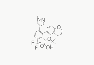 Cn1cc(-c2ccc(C(F)(F)F)c(C(OC(C)(C)C)C(=O)O)c2-c2ccc3c(c2)CCCO3)cn1